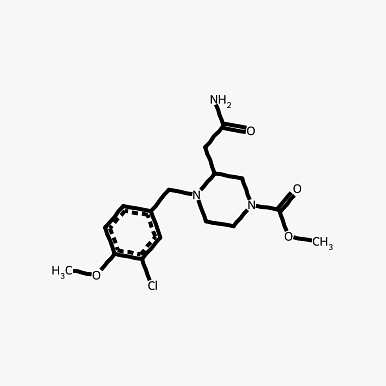 COC(=O)N1CCN(Cc2ccc(OC)c(Cl)c2)C(CC(N)=O)C1